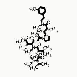 CC[C@H](C)[C@@H]([C@@H](CC(=O)N1CCC[C@H]1[C@H](SC)[C@@H](C)C(=O)N(C)CCc1cccc(O)c1)OC)N(C)C(=O)[C@@H](NC(=O)[C@H](C(C)C)N(C)C)C(C)C